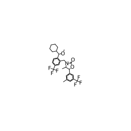 CO[C@@H](c1ccc(C(F)(F)F)cc1CN1C(=O)OC(c2cc(C)cc(C(F)(F)F)c2)C1C)C1CCCCC1